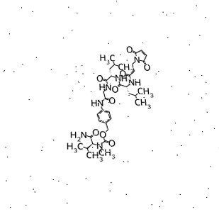 CC(C)C[C@H](NC(=O)[C@@H](CC(C)C)NC(=O)CCN1C(=O)C=CC1=O)C(=O)NCC(=O)Nc1ccc(COC(=O)N(C)[C@H](C(N)=O)C(C)C)cc1